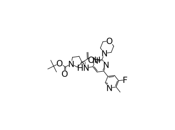 C=C(O)[C@]1(Nc2cc(-c3cnc(C)c(F)c3)nc(N3CCOCC3)n2)CCN(C(=O)OC(C)(C)C)C1